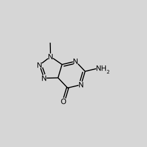 CN1N=NC2C(=O)N=C(N)N=C21